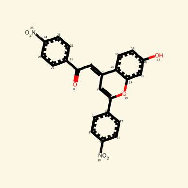 O=C(C=C1C=C(c2ccc([N+](=O)[O-])cc2)Oc2cc(O)ccc21)c1ccc([N+](=O)[O-])cc1